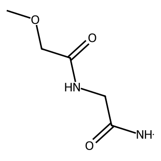 COCC(=O)NCC([NH])=O